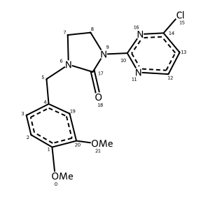 COc1ccc(CN2CCN(c3nccc(Cl)n3)C2=O)cc1OC